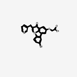 CCC(=O)COc1cc2c(=O)c(Cc3cccnc3)cn3c4ccc(Br)cc4c(c1)c23